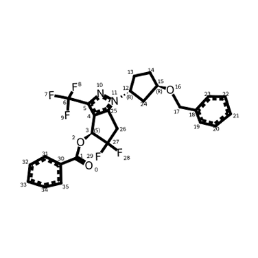 O=C(O[C@H]1c2c(C(F)(F)F)nn([C@@H]3CC[C@@H](OCc4ccccc4)C3)c2CC1(F)F)c1ccccc1